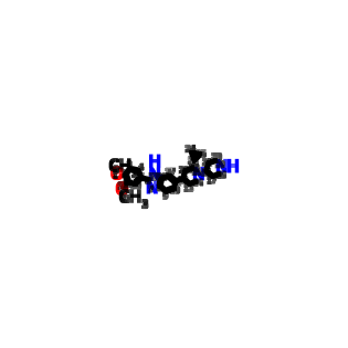 COc1ccc(-c2nc3ccc(C4CCN(C5CCNCC5)[C@@H](C5CC5)C4)cc3[nH]2)cc1OC